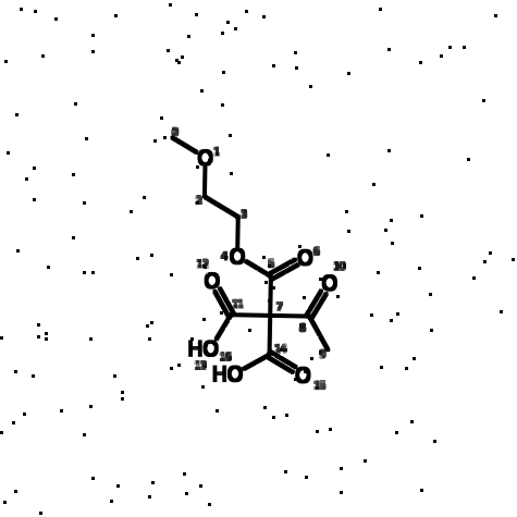 COCCOC(=O)C(C(C)=O)(C(=O)O)C(=O)O